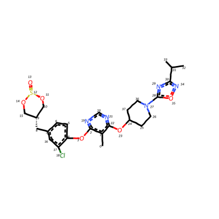 Cc1c(Oc2ccc(C[C@H]3CO[S@](=O)OC3)cc2Cl)ncnc1OC1CCN(c2nc(C(C)C)no2)CC1